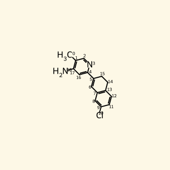 Cc1cnc(C2=Cc3cc(Cl)ccc3CC2)cc1N